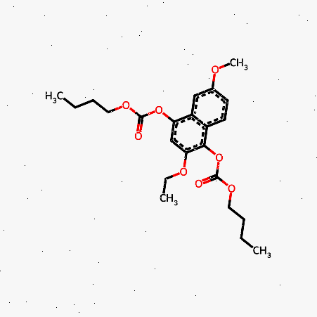 CCCCOC(=O)Oc1cc(OCC)c(OC(=O)OCCCC)c2ccc(OC)cc12